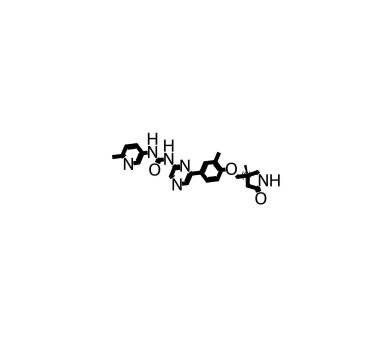 Cc1ccc(NC(=O)Nc2cncc(-c3ccc(OC[C@]4(C)CNC(=O)C4)c(C)c3)n2)cn1